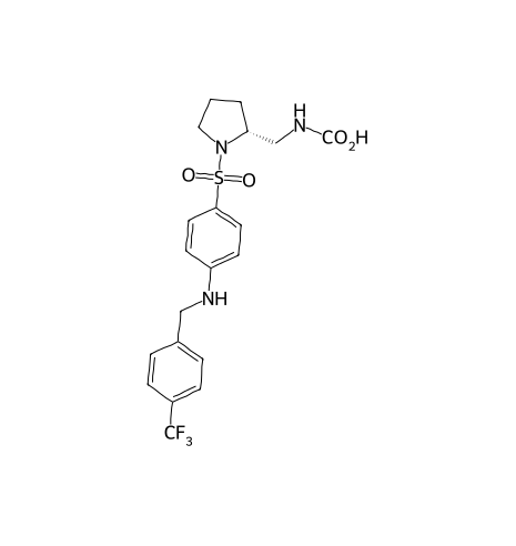 O=C(O)NC[C@H]1CCCN1S(=O)(=O)c1ccc(NCc2ccc(C(F)(F)F)cc2)cc1